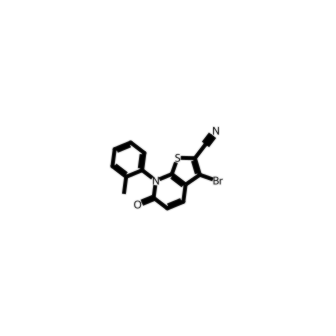 Cc1ccccc1-n1c(=O)ccc2c(Br)c(C#N)sc21